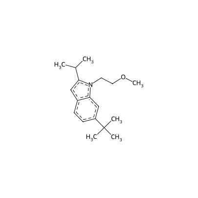 COCCn1c(C(C)C)cc2ccc(C(C)(C)C)cc21